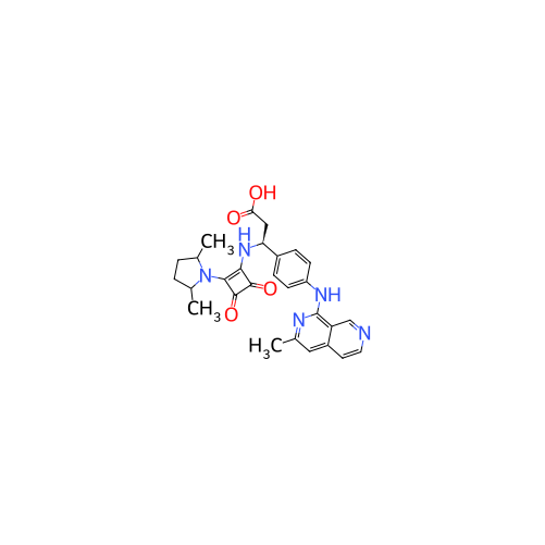 Cc1cc2ccncc2c(Nc2ccc([C@H](CC(=O)O)Nc3c(N4C(C)CCC4C)c(=O)c3=O)cc2)n1